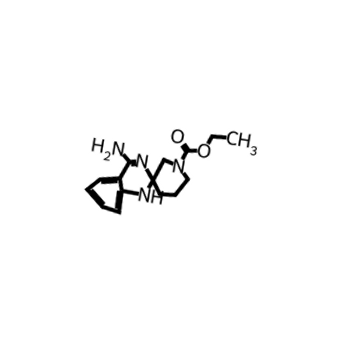 CCOC(=O)N1CCCC2(C1)N=C(N)c1ccccc1N2